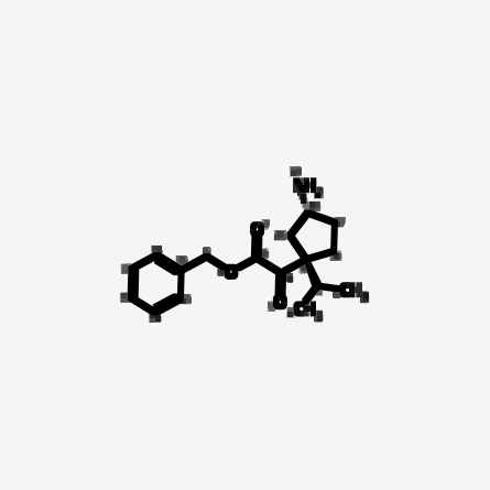 CC(C)[C@]1(C(=O)C(=O)OCc2ccccc2)CC[C@@H](N)C1